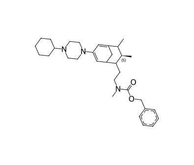 CC1C2=CC(N3CCN(C4CCCCC4)CC3)=CC(C2)C(CCN(C)C(=O)OCc2ccccc2)[C@@H]1C